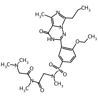 CCCc1nc(C)c2c(=O)[nH]c(-c3cc(S(=O)(=O)N(C)CC(=O)N(C)C(=O)CN(C)C)ccc3OCC)nn12